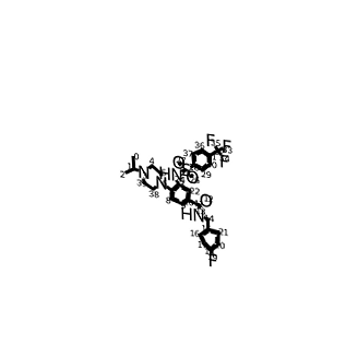 CC(C)N1CCN(c2ccc(C(=O)NCc3ccc(F)cc3)cc2NS(=O)(=O)c2ccc(C(F)(F)F)cc2)CC1